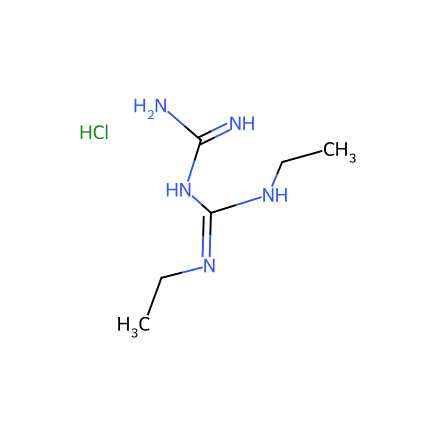 CCN=C(NCC)NC(=N)N.Cl